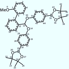 COc1ccccc1-c1ccccc1C(Oc1ccc(B2OC(C)(C)C(C)(C)O2)cc1)Oc1ccc(B2OC(C)(C)C(C)(C)O2)cc1